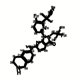 CC(C)(C#N)c1nc(-n2c3nc(Nc4ccc5c(c4)CCNC5)ncc3c(=O)n2CC(F)(F)F)ccc1F